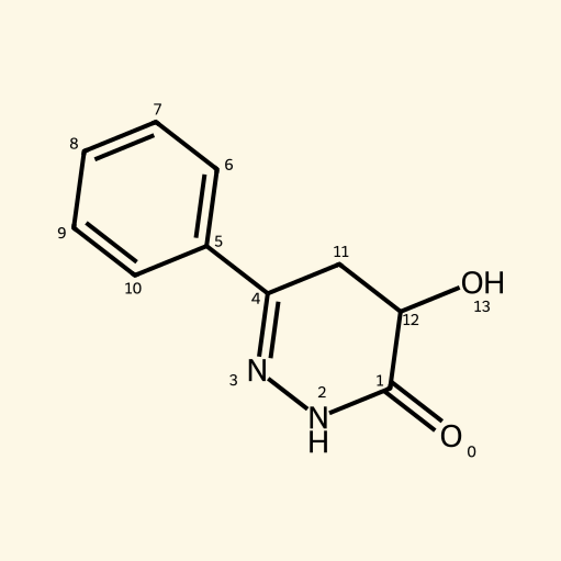 O=C1NN=C(c2ccccc2)CC1O